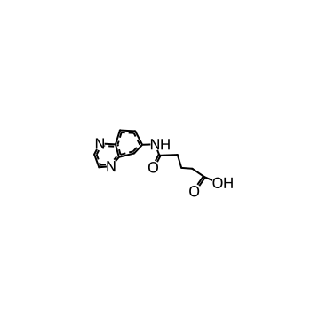 O=C(O)CCCC(=O)Nc1ccc2nccnc2c1